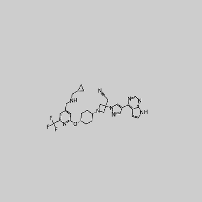 N#CCC1(n2cc(-c3ncnc4[nH]ccc34)cn2)CN([C@H]2CC[C@@H](Oc3cc(CNCC4CC4)cc(C(F)(F)F)n3)CC2)C1